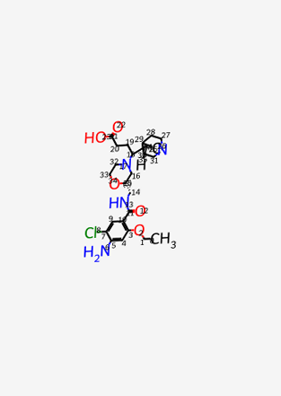 CCOc1cc(N)c(Cl)cc1C(=O)NC[C@H]1CN(C(CCC(=O)O)[C@H]2CN3CCC2CC3)CCO1